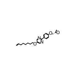 C=CCCCCCCOc1cnc(-c2ccc(OC[C@@H]3CO3)cc2)nc1